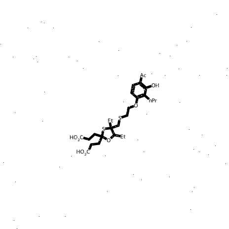 CCCc1c(OCCSCC2(CC)SC(CCC(=O)O)(CCC(=O)O)OC2CC)ccc(C(C)=O)c1O